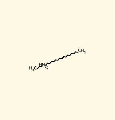 CCCCCCCCC=CCCCCCCCC(=O)NCCCC